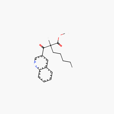 CCOC(=O)CCCCC(C(C)=O)(C(=O)OC(C)(C)C)C(=O)c1cnc2ccccc2c1